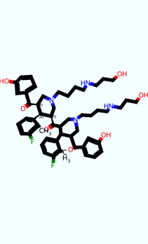 Cc1c(F)cccc1C1C(C(=O)c2cccc(O)c2)CN(CCCCNCCCO)CC1C(=O)[C@@H]1CN(CCCCNCCCO)C[C@H](C(=O)c2cccc(O)c2)[C@@H]1c1cccc(F)c1C